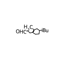 CCC(C)C1CCC(CCC=O)=C(C)C1